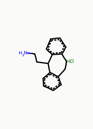 Cl.NCCC1c2ccccc2CCc2ccccc21